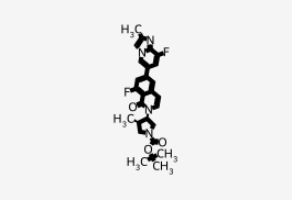 Cc1cn2cc(-c3cc(F)c4c(=O)n([C@H]5CN(C(=O)OC(C)(C)C)C[C@H]5C)ccc4c3)cc(F)c2n1